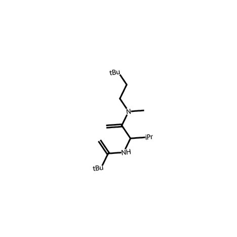 C=C(C(NC(=C)C(C)(C)C)C(C)C)N(C)CCC(C)(C)C